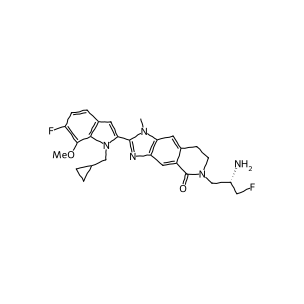 COc1c(F)ccc2cc(-c3nc4cc5c(cc4n3C)CCN(C[C@H](N)CF)C5=O)n(CC3CC3)c12